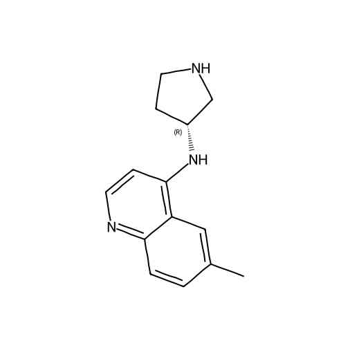 Cc1ccc2nccc(N[C@@H]3CCNC3)c2c1